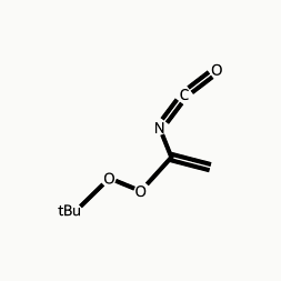 C=C(N=C=O)OOC(C)(C)C